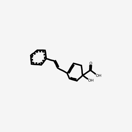 O=C(O)C1(O)C=CC(C=Cc2ccccc2)=CC1